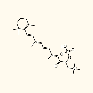 CC1=C(/C=C/C(C)=C/C=C/C(C)=C/C(=O)C(C[N+](C)(C)C)OP(=O)([O-])O)C(C)(C)CCC1